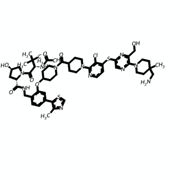 CC(=O)N[C@H](C(=O)N1C[C@H](O)C[C@H]1C(=O)NCc1ccc(-c2scnc2C)cc1OC1CCN(C(=O)C2CCN(c3nccc(Sc4cnc(N5CCC(C)(CN)CC5)c(CO)n4)c3Cl)CC2)CC1)C(C)(C)C